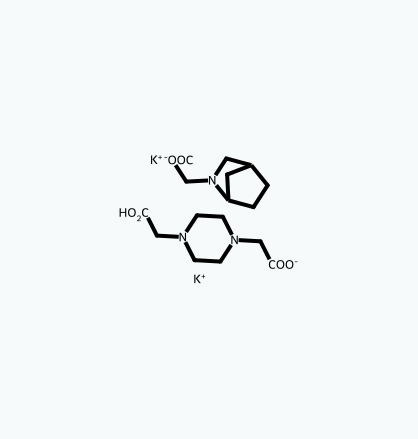 O=C([O-])CN1CC2CCC1C2.O=C([O-])CN1CCN(CC(=O)O)CC1.[K+].[K+]